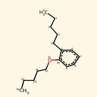 CCCC[CH]c1ccccc1OCCCCC